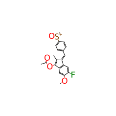 COc1cc2c(cc1F)C(=Cc1ccc([S+](C)[O-])cc1)C(C)=C2OC(C)=O